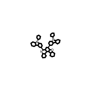 c1ccc(-n2c3ccccc3c3cc(-c4nc5ccccc5c5c4cc(-c4ccc6c(c4)c4ccccc4n6-c4ccccc4)c4oc6ccccc6c45)ccc32)cc1